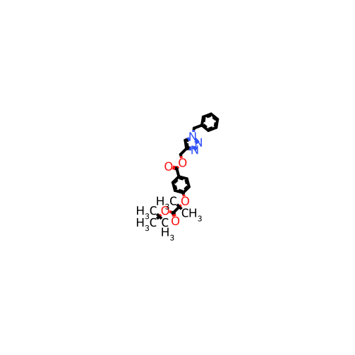 CC(C)(C)OC(=O)C(C)(C)Oc1ccc(C(=O)OCc2cn(Cc3ccccc3)nn2)cc1